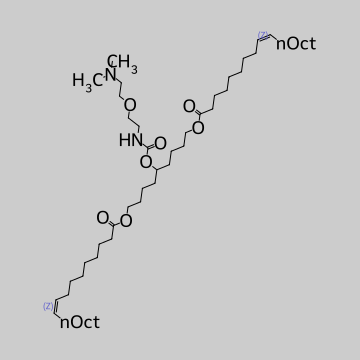 CCCCCCCC/C=C\CCCCCCCC(=O)OCCCCC(CCCCOC(=O)CCCCCCC/C=C\CCCCCCCC)OC(=O)NCCOCCN(C)C